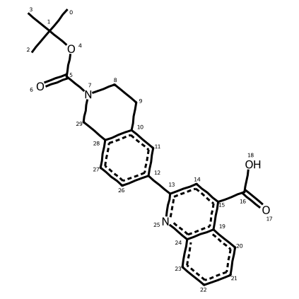 CC(C)(C)OC(=O)N1CCc2cc(-c3cc(C(=O)O)c4ccccc4n3)ccc2C1